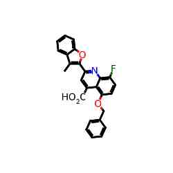 Cc1c(-c2cc(C(=O)O)c3c(OCc4ccccc4)ccc(F)c3n2)oc2ccccc12